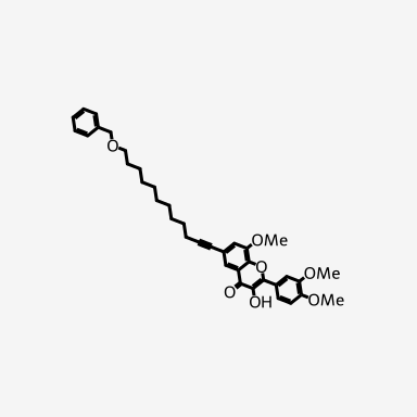 COc1ccc(-c2oc3c(OC)cc(C#CCCCCCCCCCCOCc4ccccc4)cc3c(=O)c2O)cc1OC